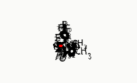 Cc1ccc(C(=O)N2[C@@H](C(=O)NC(c3ccc(C(F)(F)F)cc3F)C3COC3)C[C@H]3C[C@H]32)cc1S(C)(=O)=O